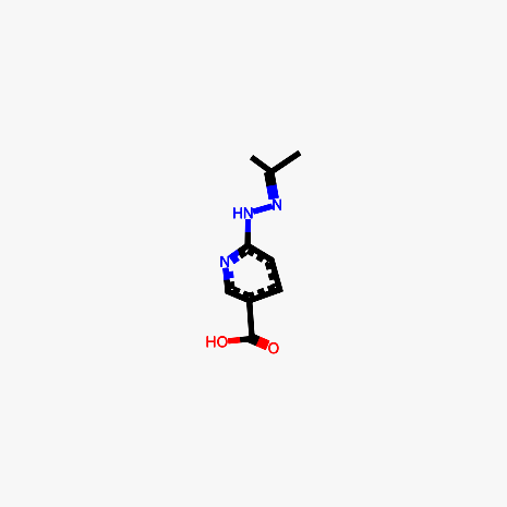 CC(C)=NNc1ccc(C(=O)O)cn1